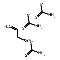 C=C[CH2][Sn+3].NC(=S)[S-].NC(=S)[S-].NC(=S)[S-]